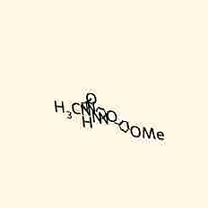 COc1ccc(COc2ccc(-n3[nH]c(C)cc3=O)nn2)cc1